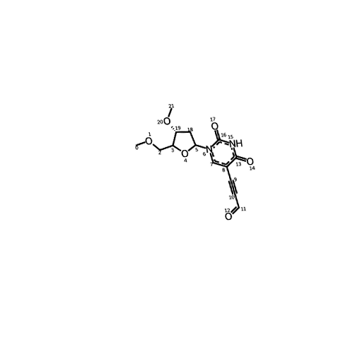 COCC1OC(n2cc(C#CC=O)c(=O)[nH]c2=O)C[C@H]1OC